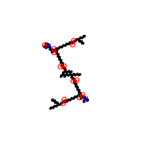 CCCCCC(CCCCC)CCOC(=O)CCCCCCCCC1(CCCCCCCCC(=O)OCCC(CCCCC)CCCC(C)C(CC)CC(CCCC)CCOC(=O)CCCCCCCCCC2(CCCCCCCCCC(=O)OCCC(CCCC)CCCC)OCC(CCN3CCOCC3)O2)OCC(CN(CC)CC)O1